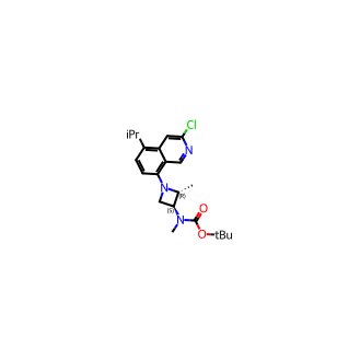 CC(C)c1ccc(N2C[C@H](N(C)C(=O)OC(C)(C)C)[C@H]2C)c2cnc(Cl)cc12